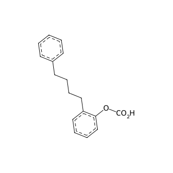 O=C(O)Oc1ccccc1CCCCc1ccccc1